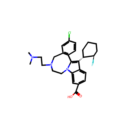 CN(C)CCN1CCn2c(c([C@@H]3CCCC[C@H]3F)c3ccc(C(=O)O)cc32)-c2ccc(Cl)cc2C1